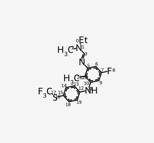 CCN(C)C=Nc1cc(F)cc(Nc2ccc(SC(F)(F)F)cc2)c1C